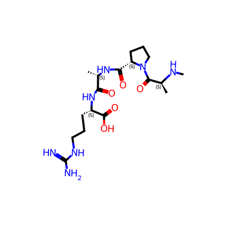 CN[C@@H](C)C(=O)N1CCC[C@H]1C(=O)N[C@@H](C)C(=O)N[C@@H](CCCNC(=N)N)C(=O)O